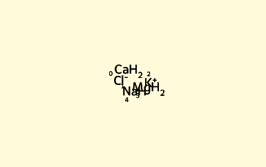 [CaH2].[Cl-].[K+].[MgH2].[NaH]